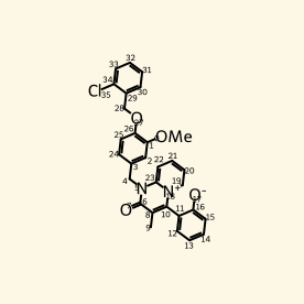 COc1cc(Cn2c(=O)c(C)c(-c3ccccc3[O-])[n+]3ccccc23)ccc1OCc1ccccc1Cl